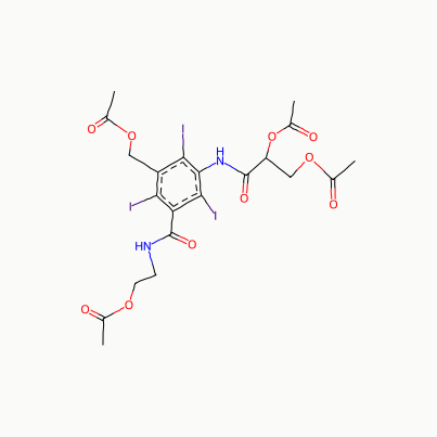 CC(=O)OCCNC(=O)c1c(I)c(COC(C)=O)c(I)c(NC(=O)C(COC(C)=O)OC(C)=O)c1I